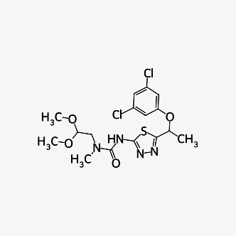 COC(CN(C)C(=O)Nc1nnc(C(C)Oc2cc(Cl)cc(Cl)c2)s1)OC